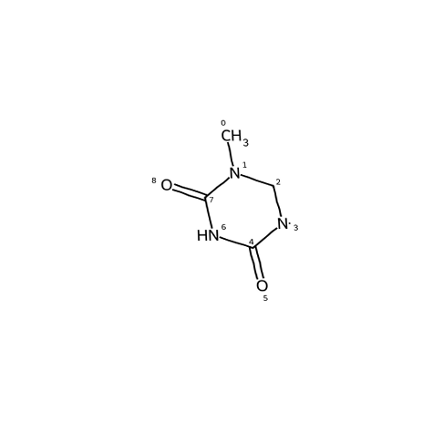 CN1C[N]C(=O)NC1=O